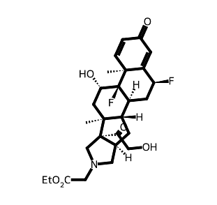 CCOC(=O)CN1C[C@@H]2C[C@H]3[C@@H]4C[C@H](F)C5=CC(=O)C=C[C@]5(C)[C@@]4(F)[C@@H](O)C[C@]3(C)[C@]2(C(=O)CO)C1